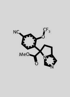 COC(=O)C1(c2ccc(C#N)cc2OC(F)(F)F)CCc2cncn21